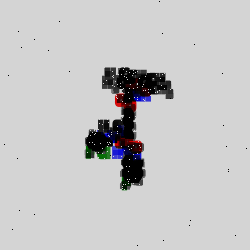 CN(C(=O)NCc1cccc(F)c1Cl)[C@@H](CCCCOC(=O)[C@@H](COC(C)(C)C)NC(=O)OC(C)(C)C)COC(=O)Nc1cc2cc(F)ccc2cn1